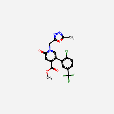 COC(=O)c1cc(=O)n(Cc2nnc(C)o2)cc1-c1cc(C(F)(F)F)ccc1Cl